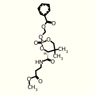 COC(=O)CCNC(=O)[C@@H]1OP(=O)(OCOC(=O)c2ccccc2)OCC1(C)C